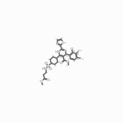 COC(=O)CCNS(=O)(=O)C1CCC(C2=C(C(=O)OC)C(c3ccc(F)c(F)c3Cl)N=C(c3nccs3)N2)CC1